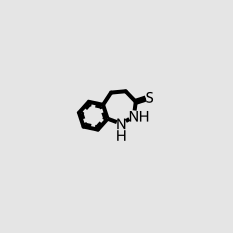 S=C1CCc2ccccc2NN1